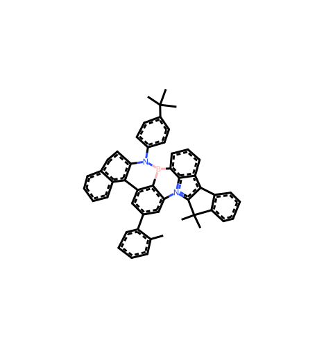 Cc1ccccc1-c1cc2c3c(c1)-n1c4c(c5cccc(c51)B3N(c1ccc(C(C)(C)C)cc1)c1ccc3ccccc3c1-2)-c1ccccc1C4(C)C